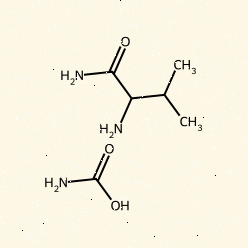 CC(C)C(N)C(N)=O.NC(=O)O